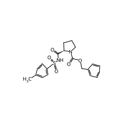 Cc1ccc(S(=O)(=O)NC(=O)[C@H]2CCCN2C(=O)OCc2ccccc2)cc1